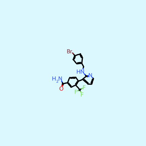 NC(=O)c1ccc(-c2cccnc2NCc2ccc(Br)cc2)c(C(F)(F)F)c1